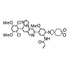 C=CC(=O)Nc1cc(-c2cc3c(cn2)cc(-c2c(Cl)c(OC)cc(OC)c2Cl)c2nccn23)c(OC)cc1N1CC2(CCS(=O)(=O)CC2)C1